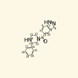 O=C(c1ccc2[nH]ncc2c1)N1CCNC(c2ccccc2)C1